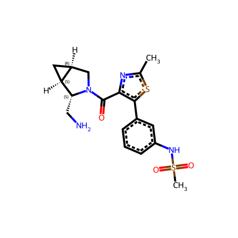 Cc1nc(C(=O)N2C[C@@H]3C[C@@H]3[C@H]2CN)c(-c2cccc(NS(C)(=O)=O)c2)s1